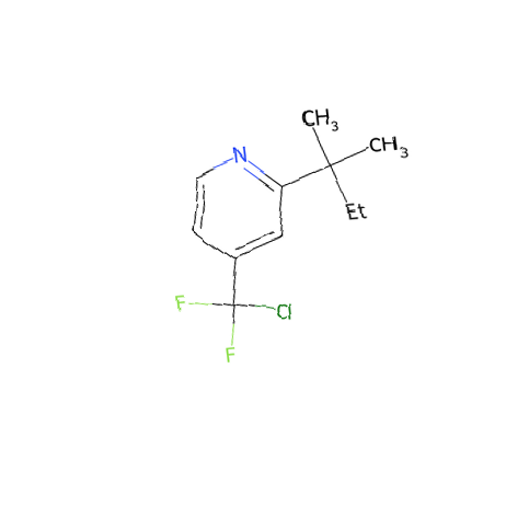 CCC(C)(C)c1cc(C(F)(F)Cl)ccn1